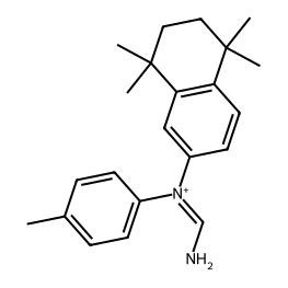 Cc1ccc([N+](=CN)c2ccc3c(c2)C(C)(C)CCC3(C)C)cc1